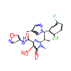 Cc1cnn([C@@H](c2cc(F)ccc2Cl)[C@@H](C)c2nc(C(=O)Nc3cnoc3)c(O)c(=O)n2C)c1